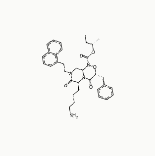 CC[C@H](C)OC(=O)N1O[C@H](Cc2ccccc2)C(=O)N2C1CN(CCc1cccc3ccccc13)C(=O)[C@@H]2CCCCN